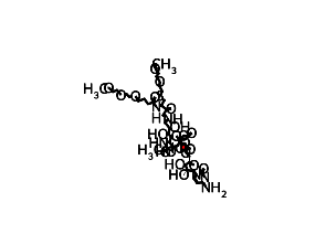 COCCOCCOCCCC(=O)NC(CSCCOCCOC)C(=O)CNCC(O)C(O)C1OC(OC=O)(OP(=O)(O)OC[C@H]2O[C@@H](n3ccc(N)nc3=O)[C@H](O)[C@@H]2O)CC(O)C1NC(C)=O